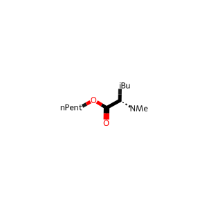 CCCCCOC(=O)[C@@H](NC)C(C)CC